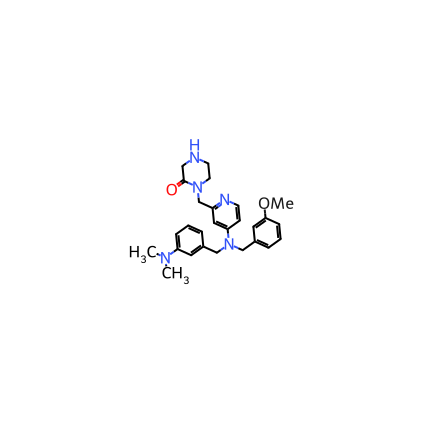 COc1cccc(CN(Cc2cccc(N(C)C)c2)c2ccnc(CN3CCNCC3=O)c2)c1